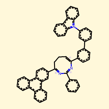 C1=C(c2cccc(-c3cccc(-n4c5ccccc5c5ccccc54)c3)c2)/N=C(c2ccccc2)\N=C(\c2ccc3c4ccccc4c4ccccc4c3c2)CC\1